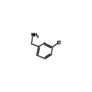 NCc1[c]c(Cl)ccc1